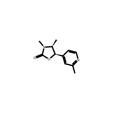 Cc1cc([C@H]2OC(=O)N(C)[C@H]2C)ccn1